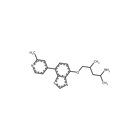 Cc1cc(-c2ccc(OCC(C)CC(C)N)c3ncsc23)ccn1